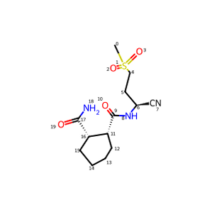 CS(=O)(=O)CC[C@@H](C#N)NC(=O)[C@@H]1CCCC[C@@H]1C(N)=O